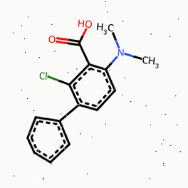 CN(C)c1ccc(-c2ccccc2)c(Cl)c1C(=O)O